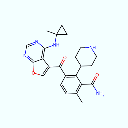 Cc1ccc(C(=O)c2coc3ncnc(NC4(C)CC4)c23)c(C2CCNCC2)c1C(N)=O